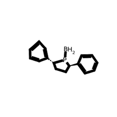 BP1[C@@H](c2ccccc2)CC[C@@H]1c1ccccc1